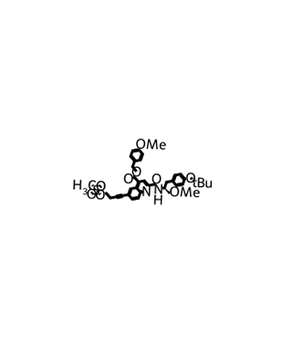 COC[C@H](Cc1ccc(OC(C)(C)C)cc1)NC(=O)c1cc(C(=O)OCc2ccc(OC)cc2)c2cc(C#CCCOS(C)(=O)=O)ccc2n1